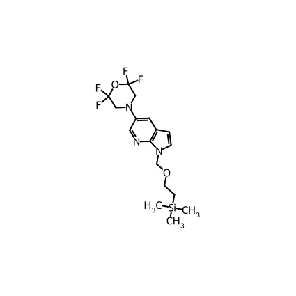 C[Si](C)(C)CCOCn1ccc2cc(N3CC(F)(F)OC(F)(F)C3)cnc21